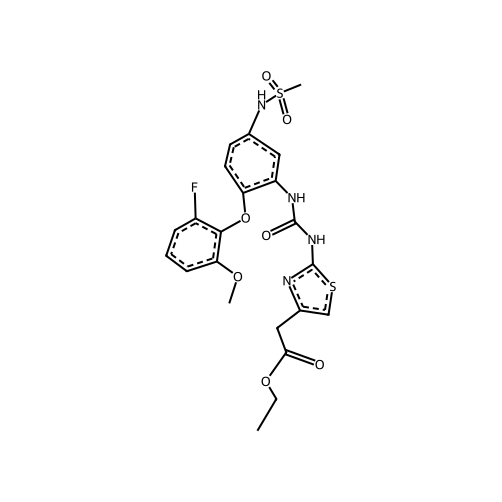 CCOC(=O)Cc1csc(NC(=O)Nc2cc(NS(C)(=O)=O)ccc2Oc2c(F)cccc2OC)n1